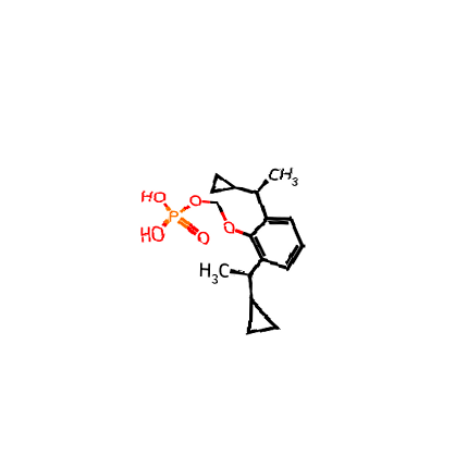 C[C@@H](c1cccc([C@H](C)C2CC2)c1OCOP(=O)(O)O)C1CC1